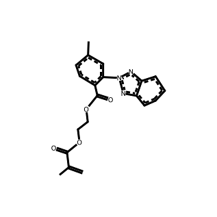 C=C(C)C(=O)OCCOC(=O)c1ccc(C)cc1-n1nc2ccccc2n1